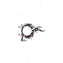 C=C1[C@H](C)C[C@H](C)/C=C/C=C/C=C(\C)C(OCCCCOC)C[C@@H]2CC[C@@H](C)[C@@](O)(O2)C(=O)C(=O)N2CCCC[C@H]2C(=O)O[C@H]([C@H](C)C[C@@H]2CC[C@@H](OCCCO)[C@H](OC)C2)CC(=O)[C@H](C)/C=C(\C)[C@@H](O)[C@H]1OC